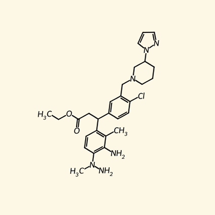 CCOC(=O)CC(c1ccc(Cl)c(CN2CCCC(n3cccn3)C2)c1)c1ccc(N(C)N)c(N)c1C